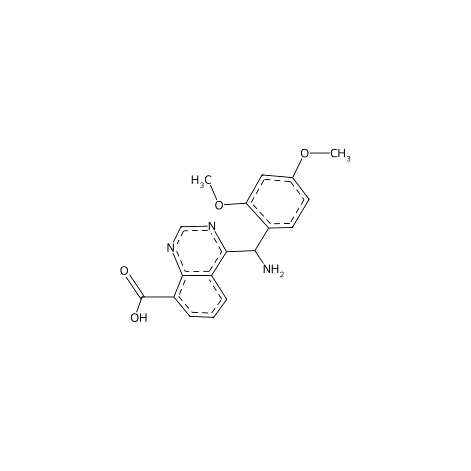 COc1ccc(C(N)c2ncnc3c(C(=O)O)cccc23)c(OC)c1